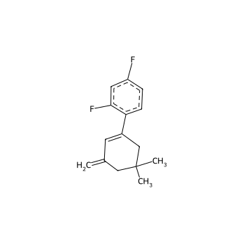 C=C1C=C(c2ccc(F)cc2F)CC(C)(C)C1